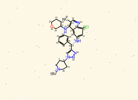 CC(C)(C)N1CCC(n2cc([C@@H](Nc3cc(Cl)c4ncc(C#N)c(NC5CCCOC5)c4c3)c3ccccc3)nn2)CC1